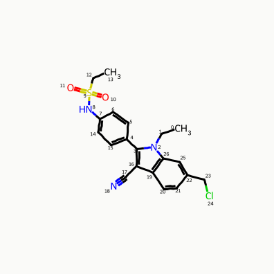 CCn1c(-c2ccc(NS(=O)(=O)CC)cc2)c(C#N)c2ccc(CCl)cc21